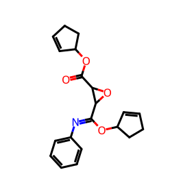 O=C(OC1C=CCC1)C1OC1C(=Nc1ccccc1)OC1C=CCC1